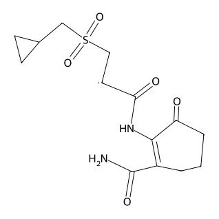 NC(=O)C1=C(NC(=O)[CH]CS(=O)(=O)CC2CC2)C(=O)CCC1